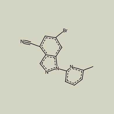 Cc1cccc(-n2ncc3c(C#N)cc(Br)cc32)n1